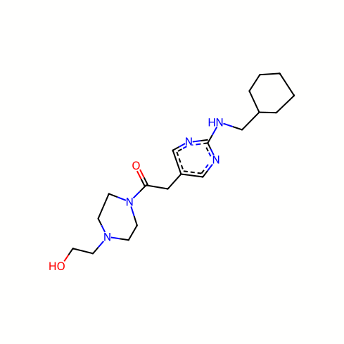 O=C(Cc1cnc(NCC2CCCCC2)nc1)N1CCN(CCO)CC1